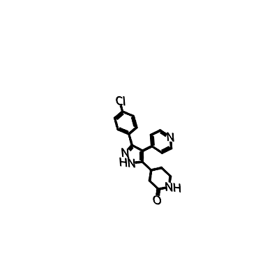 O=C1CC(c2[nH]nc(-c3ccc(Cl)cc3)c2-c2ccncc2)CCN1